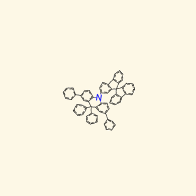 c1ccc(-c2ccc3c(c2)C(c2ccccc2)(c2ccccc2)c2cc(-c4ccccc4)ccc2N3c2ccc3c(c2)C2(c4ccccc4-c4ccccc42)c2ccccc2-3)cc1